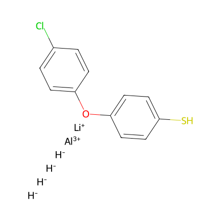 Sc1ccc(Oc2ccc(Cl)cc2)cc1.[Al+3].[H-].[H-].[H-].[H-].[Li+]